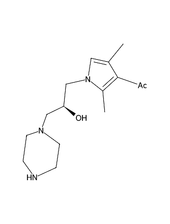 CC(=O)c1c(C)cn(C[C@@H](O)CN2CCNCC2)c1C